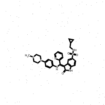 CN1CCN(c2ccc(N/C(=C3\C(=O)Nc4ccc(S(=O)(=O)NCC5CC5)cc43)c3ccccn3)cc2)CC1